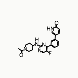 CC(=O)N1CCC(Nc2ncc(F)c(-c3cccc(-c4ccc(=O)[nH]c4)c3)n2)CC1